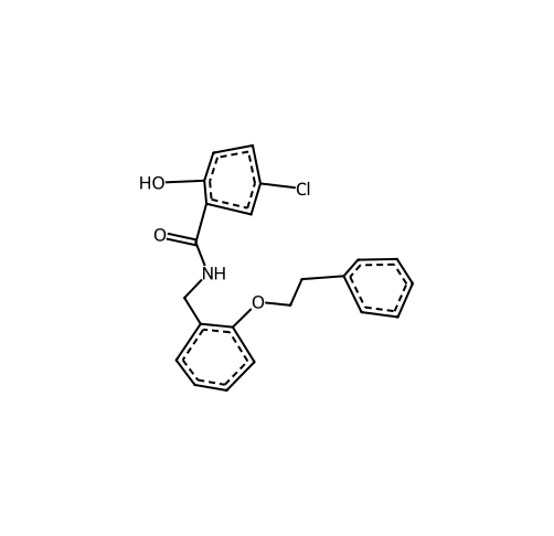 O=C(NCc1ccccc1OCCc1ccccc1)c1cc(Cl)ccc1O